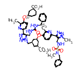 Cc1nc(-c2nnn(C)c2CNS(=O)(=O)N(C)Cc2ccccc2)ccc1OC1CC(Cn2nnc(-c3ccc(O[C@H]4CCC[C@H](C(=O)O)C4)c(C)n3)c2CNC(=O)NCc2ccccc2)CC(C(=O)O)C1